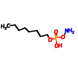 CCCCCCCCOP(=O)(O)ON